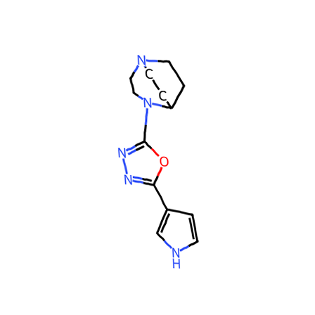 c1cc(-c2nnc(N3CCN4CCC3CC4)o2)c[nH]1